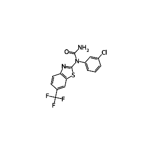 NC(=O)N(c1cccc(Cl)c1)c1nc2ccc(C(F)(F)F)cc2s1